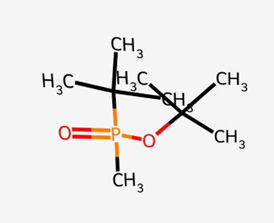 CC(C)(C)OP(C)(=O)C(C)(C)C